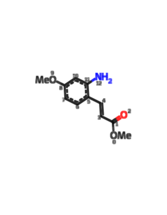 COC(=O)/C=C/c1ccc(OC)cc1N